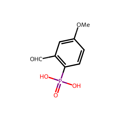 COc1ccc(P(=O)(O)O)c(C=O)c1